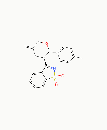 C=C1CO[C@H](c2ccc(C)cc2)[C@@H](C2=NS(=O)(=O)c3ccccc32)C1